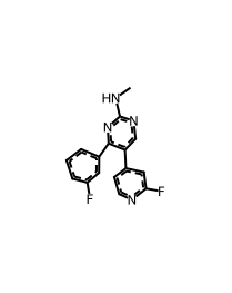 CNc1ncc(-c2ccnc(F)c2)c(-c2cccc(F)c2)n1